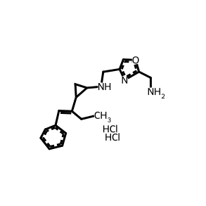 CC/C(=C\c1ccccc1)C1CC1NCc1coc(CN)n1.Cl.Cl